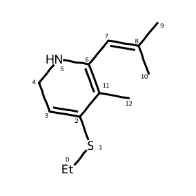 CCSC1=CCNC(C=C(C)C)=C1C